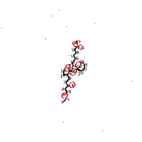 CCOCCC(=O)C=C[C@H]1CCO[C@@]1(CCCCCCC(=O)OC)OC1CCCCO1